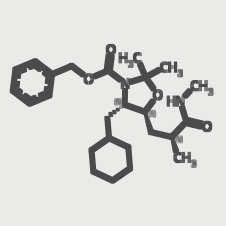 CNC(=O)[C@@H](C)C[C@@H]1OC(C)(C)N(C(=O)OCc2ccccc2)[C@H]1CC1CCCCC1